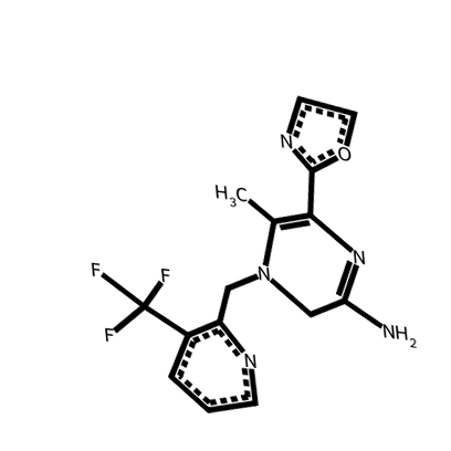 CC1=C(c2ncco2)N=C(N)CN1Cc1ncccc1C(F)(F)F